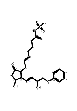 CS(=O)(=O)NC(=O)CCC/C=C/CC1C(=O)CC(O)C1/C=C/C(O)COc1ccccc1